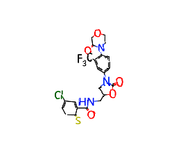 O=C(NCC1CN(c2ccc(N3CCOCC3=O)c(C(F)(F)F)c2)C(=O)O1)C1=CC(Cl)=CCC1=S